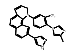 Cc1cn(-c2ccc(N3CC=Cc4cnc5ccc(-c6cn[nH]c6)cc5c43)cc2C(F)(F)F)cn1